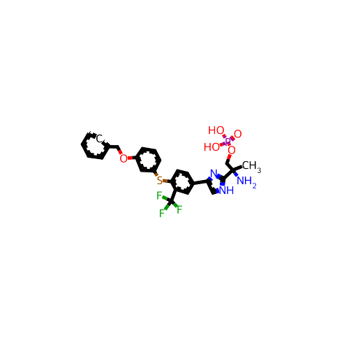 CC(N)(COP(=O)(O)O)c1nc(-c2ccc(Sc3cccc(OCc4ccccc4)c3)c(C(F)(F)F)c2)c[nH]1